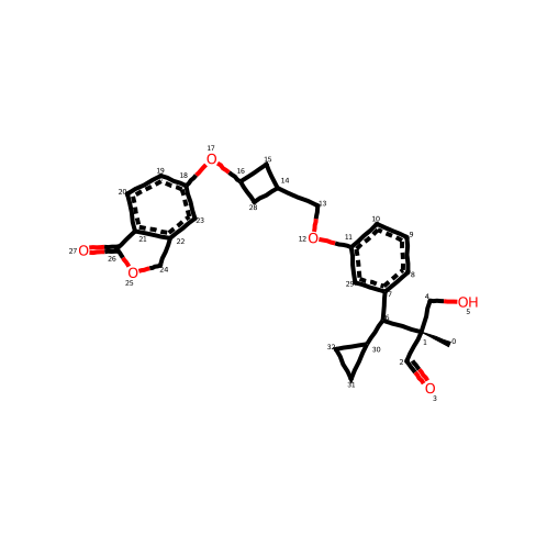 C[C@](C=O)(CO)C(c1cccc(OCC2CC(Oc3ccc4c(c3)COC4=O)C2)c1)C1CC1